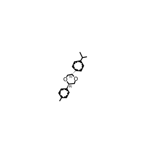 Cc1ccc([C@@H]2CO[C@@H](c3ccc(C(C)C)cc3)CO2)cc1